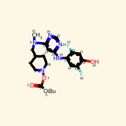 CC(C)COC(=O)ON1CCC(CN(C)c2cc(Nc3cc(F)c(O)cc3F)ncn2)CC1